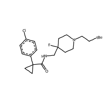 CC(C)(C)CCN1CCC(F)(CNC(=O)C2(c3ccc(Cl)cc3)CC2)CC1